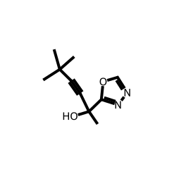 CC(C)(C)C#CC(C)(O)c1nnco1